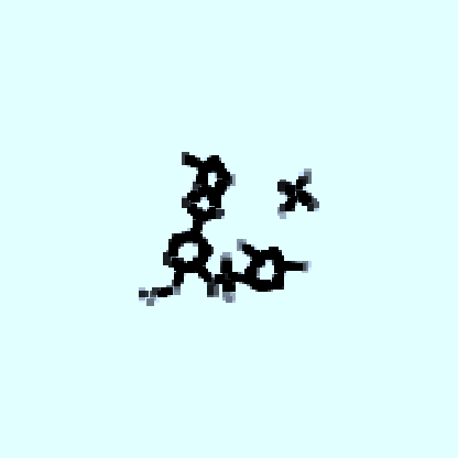 COc1ncc(-c2nn3c(I)cnc3s2)cc1NS(=O)(=O)c1ccc(F)cc1F.O=S(=O)(Cl)Cl